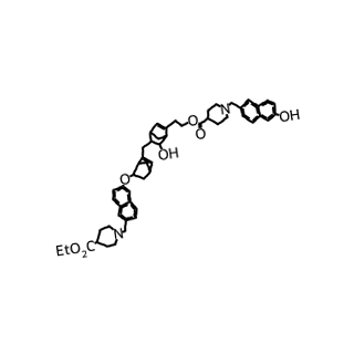 CCOC(=O)C1CCN(Cc2ccc3cc(OC4CC5C=C(CC6C7C=C(CCOC(=O)C8CCN(Cc9ccc%10cc(O)ccc%10c9)CC8)C(C7)C6O)C4C5)ccc3c2)CC1